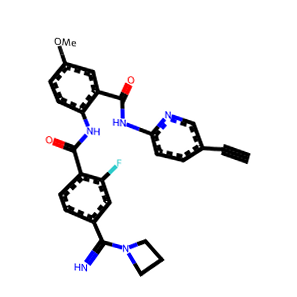 C#Cc1ccc(NC(=O)c2cc(OC)ccc2NC(=O)c2ccc(C(=N)N3CCC3)cc2F)nc1